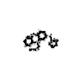 COCN1c2cc(Cn3ncnn3)ccc2Sc2nccnc21